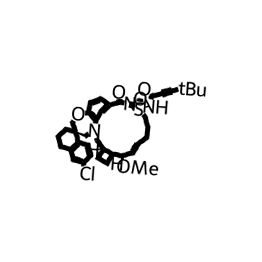 CO[C@H]1/C=C/CCC[S@@](=O)(NC(=O)C#CC(C)(C)C)=NC(=O)c2ccc3c(c2)N(C[C@@H]2CC[C@H]21)C[C@@]1(CCCc2cc(Cl)ccc21)CO3